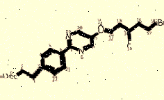 CCCCCCCCCCCCc1ccc(-c2ncc(OCCC(F)CCC(C)CC)cn2)cc1